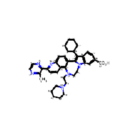 Cc1nccnc1-c1ccc2c3c(ccc2n1)-c1c(C2CCCCC2)c2ccc(C(=O)O)cc2n1CCN3CCN1CCCCC1